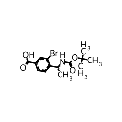 C[C@H](NC(=O)OC(C)(C)C)c1ccc(C(=O)O)cc1Br